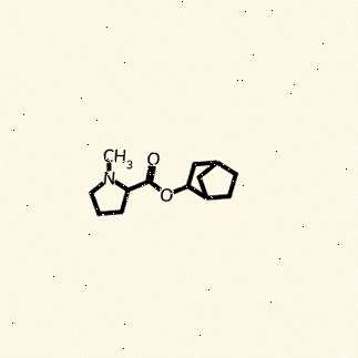 CN1CCCC1C(=O)OC1CC2CCC1C2